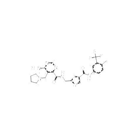 Cc1ccc(NC(=O)c2cnc(CNC(=O)c3ncnc(N)c3CN3CCCC3)s2)cc1C(F)(F)F